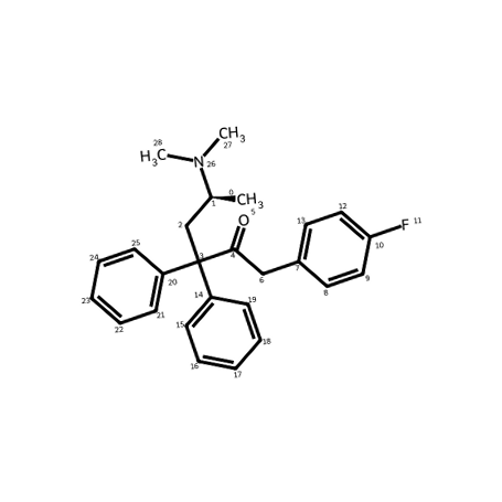 C[C@@H](CC(C(=O)Cc1ccc(F)cc1)(c1ccccc1)c1ccccc1)N(C)C